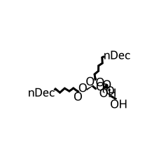 CCCCCCCCCCCCCCCC(=O)OC[C@H](COP(=O)(O)OCCO)OC(=O)CCCCCCCCCCCCCCC